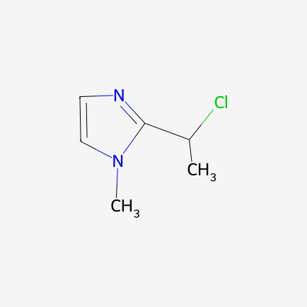 CC(Cl)c1nccn1C